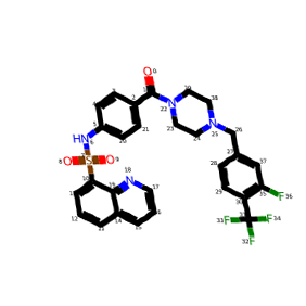 O=C(c1ccc(NS(=O)(=O)c2cccc3cccnc23)cc1)N1CCN(Cc2ccc(C(F)(F)F)c(F)c2)CC1